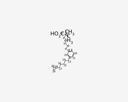 CC(C)(CCCCCc1cccc(CCCCCC2CC2)c1)C(=O)O